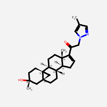 C[C@@]1(O)CC[C@@]23C[C@@]2(CC[C@@H]2[C@@H]3CC[C@]3(C)C(C(=O)Cn4cc(C(F)(F)F)cn4)=CC[C@@H]23)C1